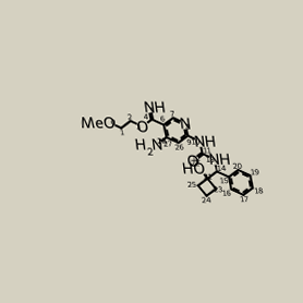 COCCOC(=N)c1cnc(NC(=O)N[C@@H](c2ccccc2)C2(O)CCC2)cc1N